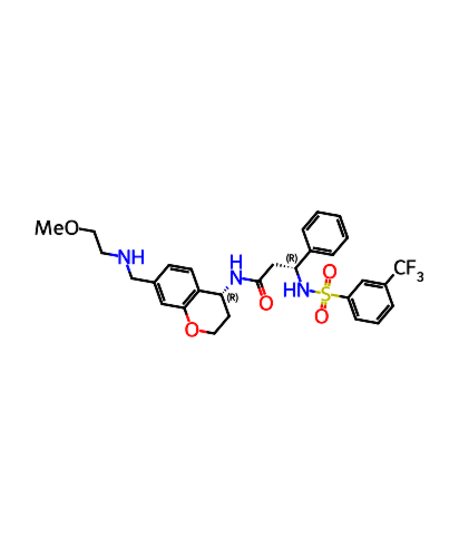 COCCNCc1ccc2c(c1)OCC[C@H]2NC(=O)C[C@@H](NS(=O)(=O)c1cccc(C(F)(F)F)c1)c1ccccc1